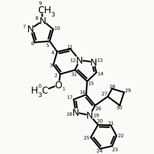 COc1cc(-c2cnn(C)c2)cn2ncc(-c3cnn(-c4ccccc4)c3C3CCC3)c12